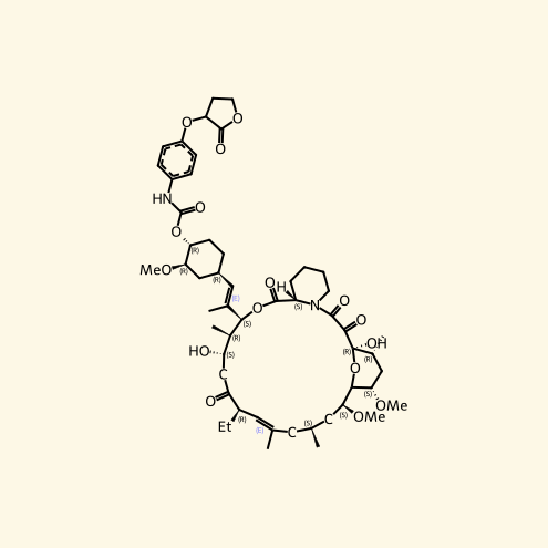 CC[C@@H]1/C=C(\C)C[C@H](C)C[C@H](OC)C2O[C@@](O)(C(=O)C(=O)N3CCCC[C@H]3C(=O)O[C@H](/C(C)=C/[C@@H]3CC[C@@H](OC(=O)Nc4ccc(OC5CCOC5=O)cc4)[C@H](OC)C3)[C@H](C)[C@@H](O)CC1=O)[C@H](C)C[C@@H]2OC